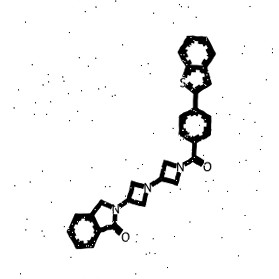 O=C(c1ccc(-c2cc3ccccc3s2)cc1)N1CC(N2CC(N3Cc4ccccc4C3=O)C2)C1